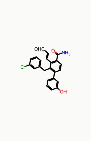 NC(=O)c1ccc(-c2cccc(O)c2)c(Cc2cccc(Cl)c2)c1C=CC=O